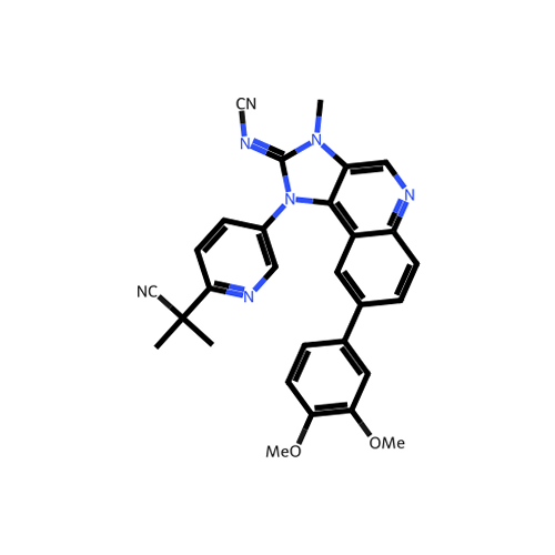 COc1ccc(-c2ccc3ncc4c(c3c2)n(-c2ccc(C(C)(C)C#N)nc2)c(=NC#N)n4C)cc1OC